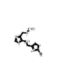 O=COCc1scnc1NCc1ccc(Br)s1